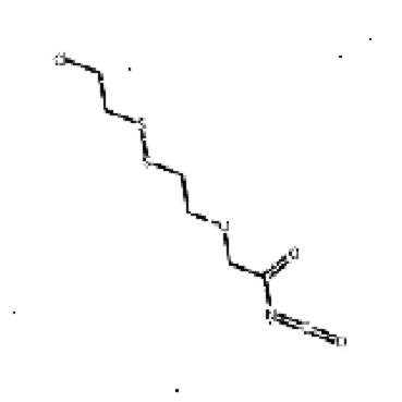 O=C=NC(=O)COCCSSCCCl